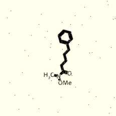 CON(C)C(=O)CCCCc1ccccc1